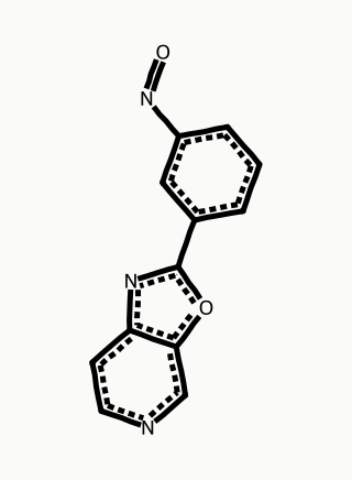 O=Nc1cccc(-c2nc3ccncc3o2)c1